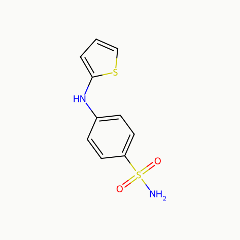 NS(=O)(=O)c1ccc(Nc2cccs2)cc1